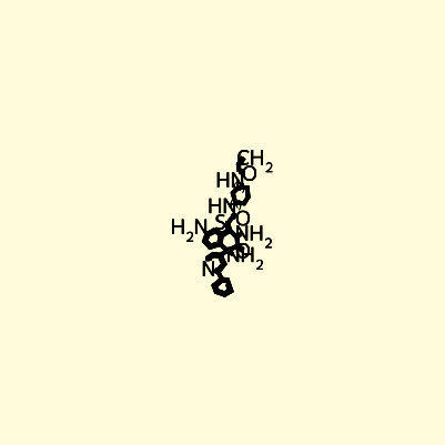 C=CC(=O)N[C@H]1CCC[C@@H](NC(=O)c2sc3c(N)ccc4c3c2C(N)C(=O)C4(N)c2ccnc(-c3ccccc3)c2)C1